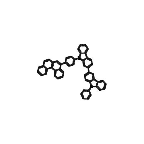 c1ccc(-n2c3ccccc3c3cc(-c4ccc5c6ccccc6n(-c6ccc(-c7cc8ccc9ccccc9c8c8ccccc78)cc6)c5c4)ccc32)cc1